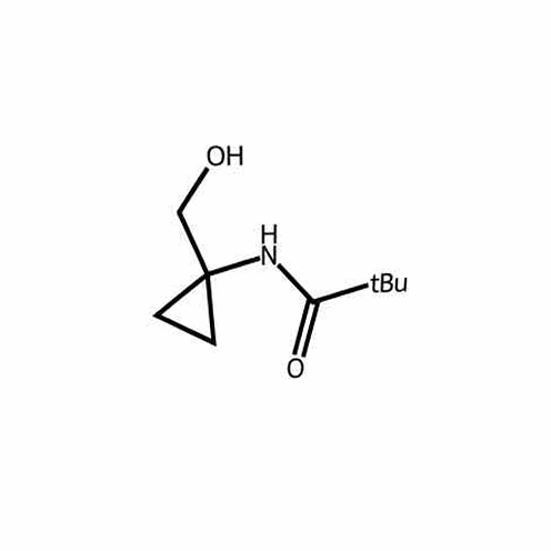 CC(C)(C)C(=O)NC1(CO)CC1